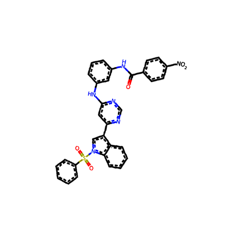 O=C(Nc1cccc(Nc2cc(-c3cn(S(=O)(=O)c4ccccc4)c4ccccc34)ncn2)c1)c1ccc([N+](=O)[O-])cc1